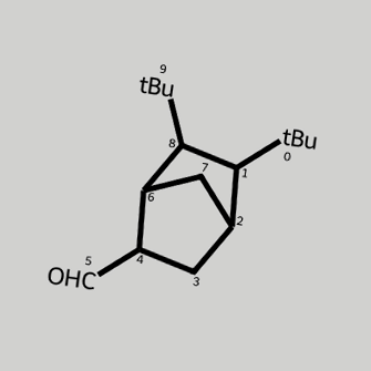 CC(C)(C)C1C2CC(C=O)C(C2)C1C(C)(C)C